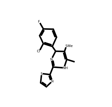 CSC1=C(C)NC(c2nccs2)=NC1c1ccc(F)cc1Cl